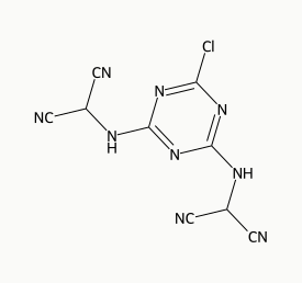 N#CC(C#N)Nc1nc(Cl)nc(NC(C#N)C#N)n1